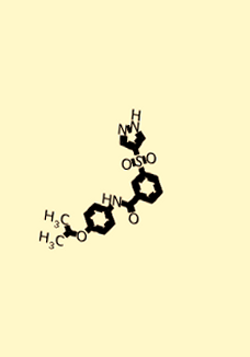 CC(C)Oc1ccc(NC(=O)c2cccc(S(=O)(=O)c3cn[nH]c3)c2)cc1